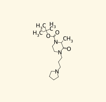 CC1C(=O)N(CCCN2CCCC2)CCN1C(=O)OC(C)(C)C